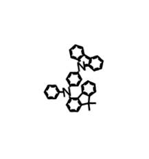 CC1(C)c2ccccc2-c2c(N(c3ccccc3)c3ccc(-n4c5ccccc5c5ccccc54)cc3)cccc21